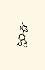 COc1ccc(-c2nc(C)cs2)cc1C=O